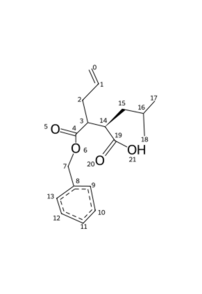 C=CCC(C(=O)OCc1ccccc1)[C@@H](CC(C)C)C(=O)O